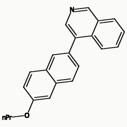 CCCOc1ccc2cc(-c3cncc4ccccc34)ccc2c1